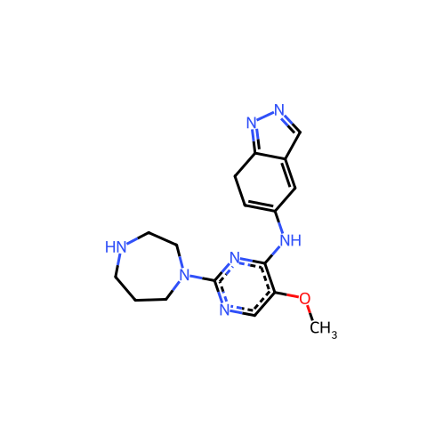 COc1cnc(N2CCCNCC2)nc1NC1=CCC2=NN=CC2=C1